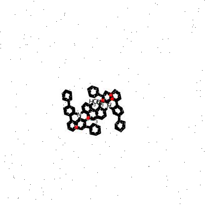 C=Cc1c(N(c2cc(-c3ccccc3)ccc2-c2ccccc2)c2cccc(-c3ccccc3)c2C)ccc2ccc3c(N(c4cc(-c5ccccc5)ccc4-c4ccccc4)c4cccc(-c5ccccc5)c4C)ccc(C)c3c12